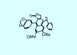 COc1cc2c(Nc3ccccc3)c3c(c(-c4ccc5c(c4)OCO5)c2cc1OC)C(=O)OC3